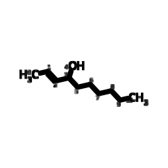 C/C=C/C(O)CCCCCC